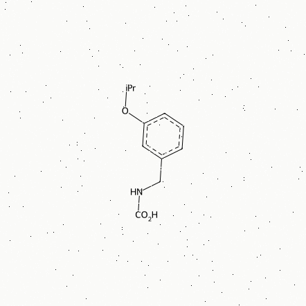 CC(C)Oc1cccc(CNC(=O)O)c1